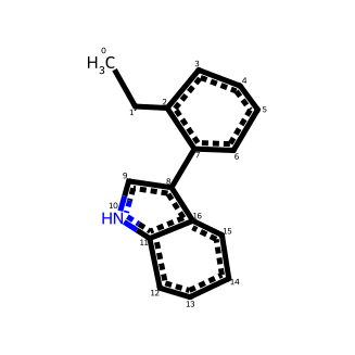 C[CH]c1ccccc1-c1c[nH]c2ccccc12